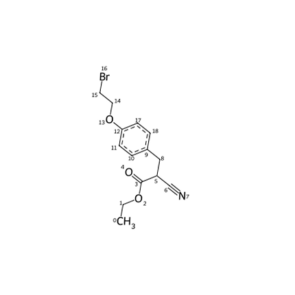 CCOC(=O)C(C#N)Cc1ccc(OCCBr)cc1